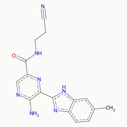 Cc1ccc2nc(-c3nc(C(=O)NCCC#N)cnc3N)[nH]c2c1